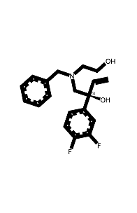 C=C[C@@](O)(CN(CCO)Cc1ccccc1)c1ccc(F)c(F)c1